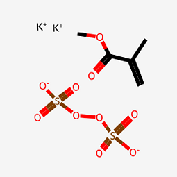 C=C(C)C(=O)OC.O=S(=O)([O-])OOS(=O)(=O)[O-].[K+].[K+]